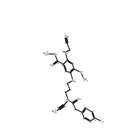 C#CCNc1cc(OC)c(OCCCN(C#CC)C(=O)Cc2ccc(F)cc2)cc1C(=O)OC